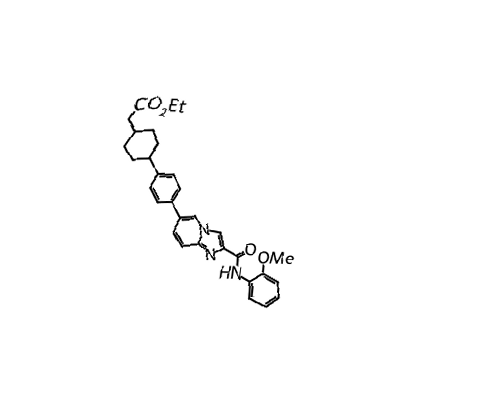 CCOC(=O)CC1CCC(c2ccc(-c3ccc4nc(C(=O)Nc5ccccc5OC)cn4c3)cc2)CC1